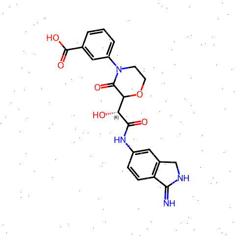 N=C1NCc2cc(NC(=O)[C@H](O)C3OCCN(c4cccc(C(=O)O)c4)C3=O)ccc21